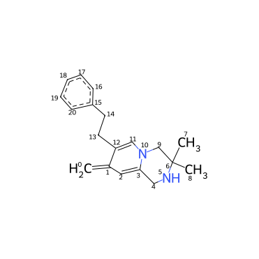 C=C1C=C2CNC(C)(C)CN2C=C1CCc1ccccc1